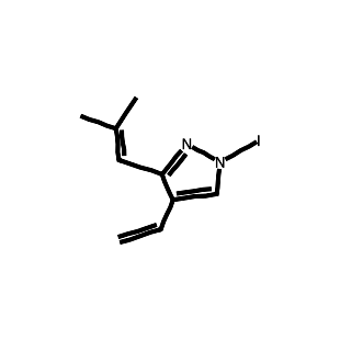 C=Cc1cn(I)nc1C=C(C)C